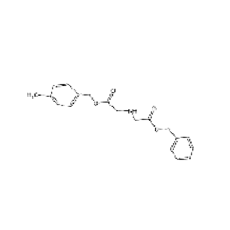 Cc1ccc(COC(=O)CNCC(=O)OCc2ccccc2)cc1